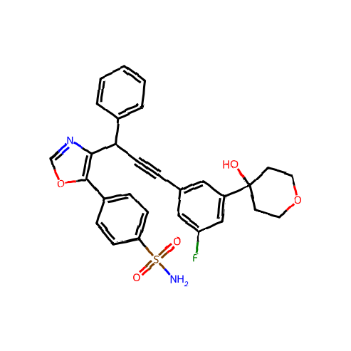 NS(=O)(=O)c1ccc(-c2ocnc2C(C#Cc2cc(F)cc(C3(O)CCOCC3)c2)c2ccccc2)cc1